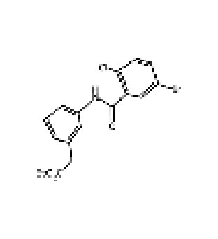 CCOC(=O)Cc1cccc(NC(=O)c2cc(Br)ccc2Cl)c1